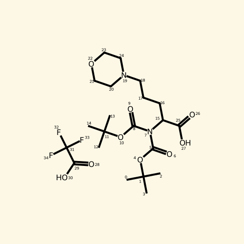 CC(C)(C)OC(=O)N(C(=O)OC(C)(C)C)C(CCCN1CCOCC1)C(=O)O.O=C(O)C(F)(F)F